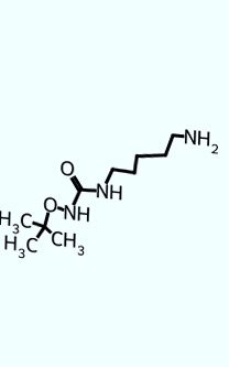 CC(C)(C)ONC(=O)NCCCCCN